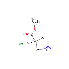 CCOC(=O)OC(=O)C(C)(C)CN.Cl